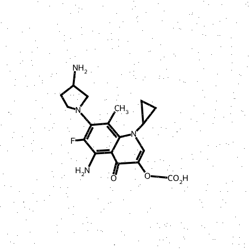 Cc1c(N2CCC(N)C2)c(F)c(N)c2c(=O)c(OC(=O)O)cn(C3CC3)c12